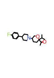 CC(=O)C1(C(C)C)CCC(N2CCC(c3ccc(F)cc3)CC2)CO1